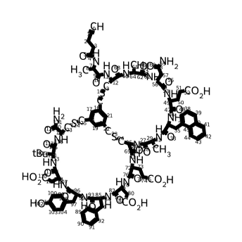 C#CCCC(=O)NC(C)C(=O)NC1CSCc2cc3cc(c2)CSCC(NC(=O)C(C)NC(=O)C(Cc2cccc4ccccc24)NC(=O)C(CCC(=O)O)NC(=O)C(CC(N)=O)NC(=O)C(C)NC1=O)C(=O)NC(CCC(=O)O)C(=O)NC(CC(=O)O)C(=O)NC(Cc1ccccc1)C(=O)NC(Cc1ccc(O)cc1)C(=O)NC(CC(=O)O)C(=O)NC(C(C)(C)C)C(=O)NC(C(N)=O)CSC3